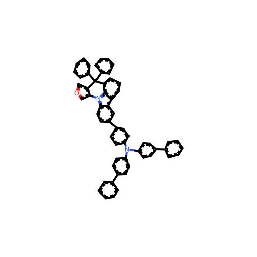 c1ccc(-c2ccc(N(c3ccc(-c4ccccc4)cc3)c3ccc(-c4ccc5c(c4)c4cccc6c4n5-c4cocc4C6(c4ccccc4)c4ccccc4)cc3)cc2)cc1